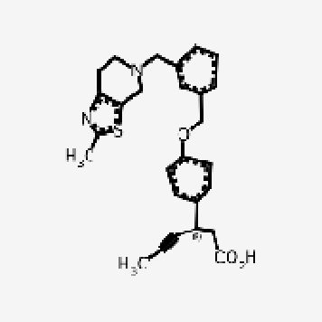 CC#C[C@H](CC(=O)O)c1ccc(OCc2cccc(CN3CCc4nc(C)sc4C3)c2)cc1